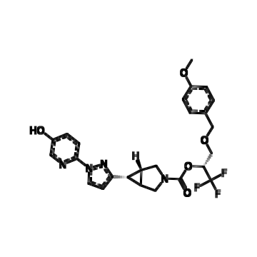 COc1ccc(COC[C@@H](OC(=O)N2CC3[C@@H](C2)[C@H]3c2ccn(-c3ccc(O)cn3)n2)C(F)(F)F)cc1